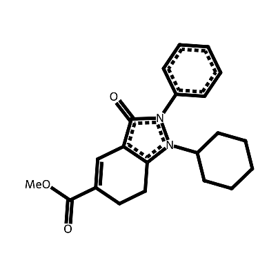 COC(=O)C1=Cc2c(n(C3CCCCC3)n(-c3ccccc3)c2=O)CC1